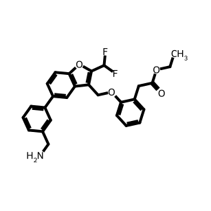 CCOC(=O)Cc1ccccc1OCc1c(C(F)F)oc2ccc(-c3cccc(CN)c3)cc12